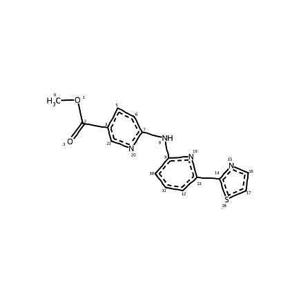 COC(=O)c1ccc(Nc2cccc(-c3nccs3)n2)nc1